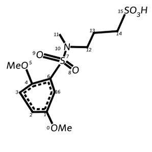 COc1ccc(OC)c(S(=O)(=O)N(C)CCCS(=O)(=O)O)c1